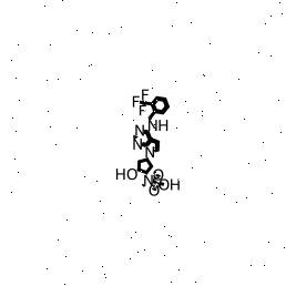 CN([C@H]1C[C@@H](n2ccc3c(NCc4ccccc4C(F)(F)F)ncnc32)C[C@@H]1O)S(=O)(=O)O